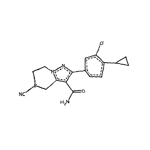 N#CB1CCn2nc(-c3ccc(C4CC4)c(Cl)c3)c(C(N)=O)c2C1